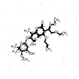 C=CCOc1c(C(COCC)=NOC)c(=O)oc2c(C)c(O[C@@H]3OC(C)(C)[C@H](OC)[C@H](O)[C@H]3O)ccc12